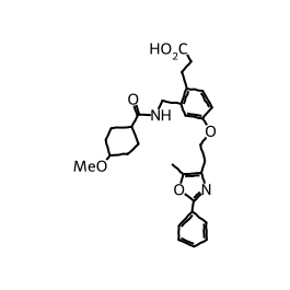 COC1CCC(C(=O)NCc2cc(OCCc3nc(-c4ccccc4)oc3C)ccc2CCC(=O)O)CC1